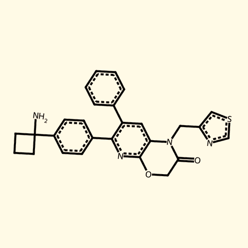 NC1(c2ccc(-c3nc4c(cc3-c3ccccc3)N(Cc3cscn3)C(=O)CO4)cc2)CCC1